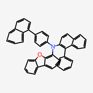 c1ccc(-c2c(N(c3ccc(-c4cccc5ccccc45)cc3)c3cccc4c3oc3ccccc34)ccc3ccccc23)cc1